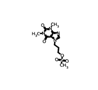 Cn1c(=O)c2c(ncn2CCCOS(C)(=O)=O)n(C)c1=O